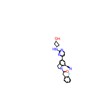 N#Cc1cc(-c2ccnc(N[C@H]3C[C@@H](O)C3)n2)cc2c1N(C(=O)Cc1ccccc1F)CC2